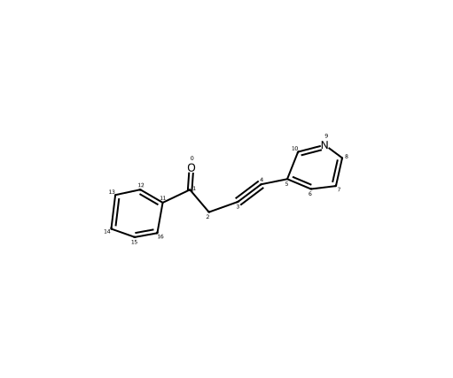 O=C(CC#Cc1cccnc1)c1ccccc1